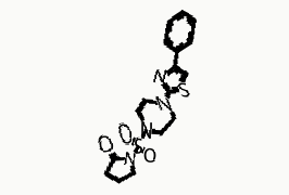 O=C1CCCN1S(=O)(=O)N1CCN(c2nc(-c3ccccc3)cs2)CC1